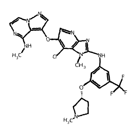 CNc1nccn2ncc(Oc3cnc4nc(Nc5cc(O[C@@H]6CCN(C)C6)cc(C(F)(F)F)c5)n(C)c4c3Cl)c12